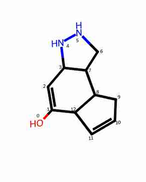 OC1=CC2NNCC2C2CC=CC12